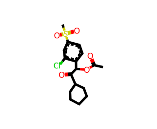 CC(=O)OC(C(=O)C1CCCCC1)c1ccc(S(C)(=O)=O)cc1Cl